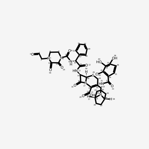 O=CCN1CCN(C(=O)N[C@@H](C(=O)N[C@@H]2C(=O)N3C(C(=O)O)=C(CN4[C@@H]5CC[C@H]4C[C@@H](NC(=O)c4ccc(O)c(O)c4Cl)C5)CS[C@H]23)c2ccccc2)C(=O)C1=O